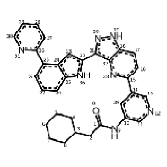 O=C(CC1CCCCC1)Nc1cncc(-c2ccc3[nH]nc(-c4cc5c(-c6ccccn6)cccc5[nH]4)c3n2)c1